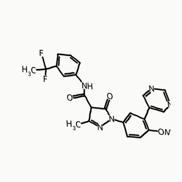 COc1ccc(N2N=C(C)C(C(=O)Nc3cccc(C(C)(F)F)c3)C2=O)cc1-c1cncnc1